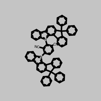 N#Cc1ccc(-n2c3ccccc3c3ccc4c(c32)-c2ccccc2C4(c2ccccc2)c2ccccc2)c(C#N)c1-n1c2ccccc2c2ccc3c(c21)-c1ccccc1C3(c1ccccc1)c1ccccc1